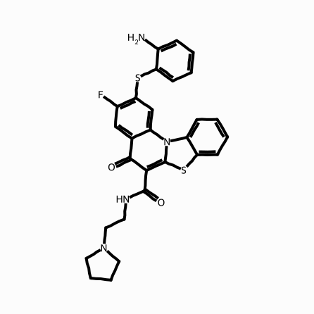 Nc1ccccc1Sc1cc2c(cc1F)c(=O)c(C(=O)NCCN1CCCC1)c1sc3ccccc3n12